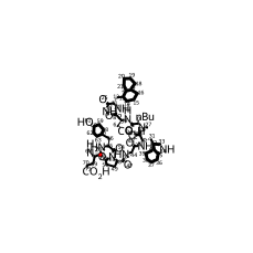 CCCC[C@@H](C(=O)N[C@@H](CC(=O)O)C(=O)N[C@@H](Cc1cccc2ccccc12)C(N)=O)N(C)C(=O)[C@H](Cc1c[nH]c2ccccc12)NC(=O)CNC(=O)[C@@H]1CCCN1C(=O)[C@H](Cc1ccc(O)cc1)NC(=O)[C@H](N)CCC(=O)O